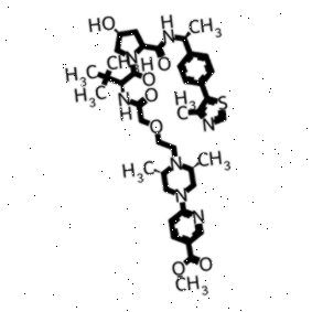 COC(=O)c1ccc(N2C[C@@H](C)N(CCOCC(=O)N[C@H](C(O)N3C[C@H](O)CC3C(=O)N[C@@H](C)c3ccc(-c4scnc4C)cc3)C(C)(C)C)[C@@H](C)C2)nc1